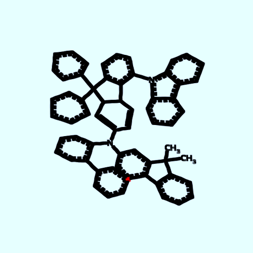 CC1(C)c2ccccc2-c2ccc(N(C3=CC4C(C=C3)c3c(-n5c6ccccc6c6ccccc65)cccc3C4(c3ccccc3)c3ccccc3)c3ccccc3-c3ccccc3)cc21